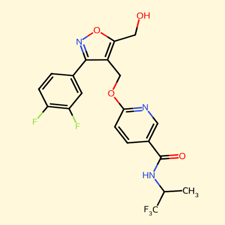 CC(NC(=O)c1ccc(OCc2c(-c3ccc(F)c(F)c3)noc2CO)nc1)C(F)(F)F